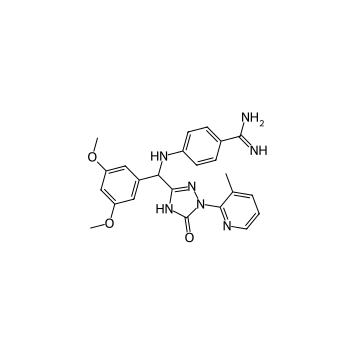 COc1cc(OC)cc(C(Nc2ccc(C(=N)N)cc2)c2nn(-c3ncccc3C)c(=O)[nH]2)c1